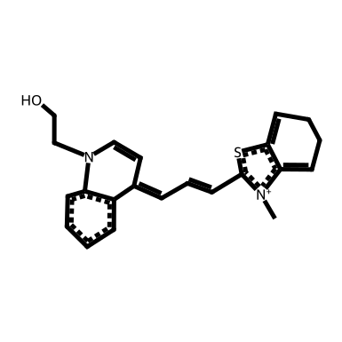 C[n+]1c(C=C/C=C2\C=CN(CCO)c3ccccc32)sc2c1=CCCC=2